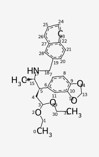 CCOC(C[C@H](c1ccc2c(c1)OCO2)[C@@H](C)NCc1ccc2ccccc2c1)OCC